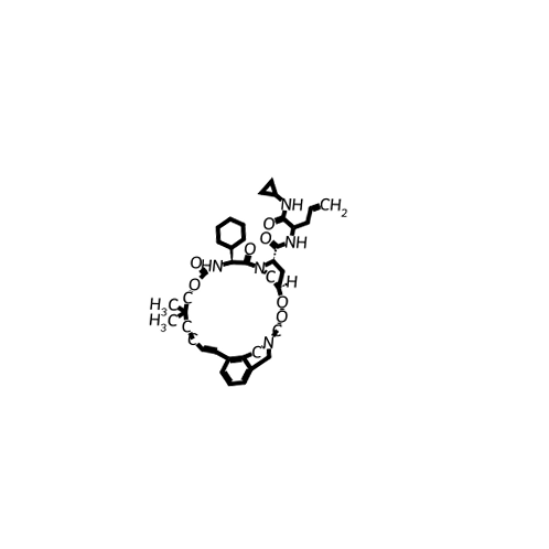 C=CCC(NC(=O)[C@@H]1C[C@@H]2CN1C(=O)[C@H](C1CCCCC1)NC(=O)OCC(C)(C)CC/C=C/c1cccc3c1CN(COO2)C3)C(=O)NC1CC1